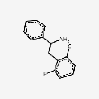 NC(Cc1c(F)cccc1Cl)c1ccccc1